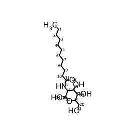 CCCCCCCCCCCC(=O)NC1C(O)[C@H](O)C(CO)O[C@H]1O